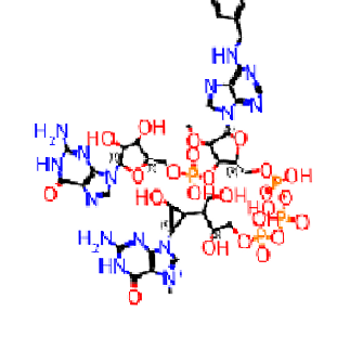 COC1C(OP(=O)(O)OC[C@H]2O[C@@H](n3cnc4c(=O)[nH]c(N)nc43)C(O)C2O)[C@@H](COP(=O)(O)OP(=O)(O)OP(=O)(O)OC[C@@H](O)C(CO)C2C(O)[C@H]2n2c[n+](C)c3c(=O)[nH]c(N)nc32)O[C@H]1n1cnc2c(NCc3ccccc3)ncnc21